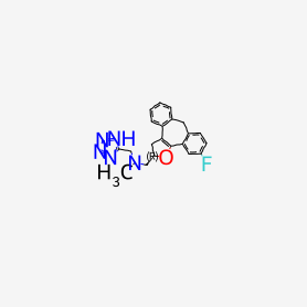 CN(Cc1nnn[nH]1)C[C@H]1CC2=C(O1)c1cc(F)ccc1Cc1ccccc12